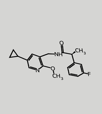 COc1ncc(C2CC2)cc1CNC(=O)[C@@H](C)c1cccc(F)c1